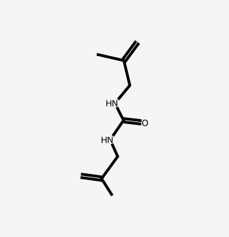 C=C(C)CNC(=O)NCC(=C)C